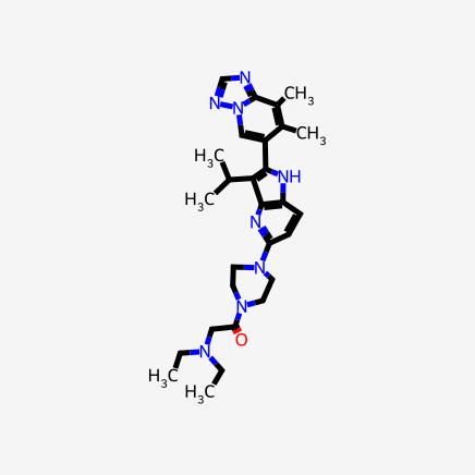 CCN(CC)CC(=O)N1CCN(c2ccc3[nH]c(-c4cn5ncnc5c(C)c4C)c(C(C)C)c3n2)CC1